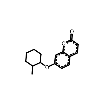 CC1CCCCC1Oc1ccc2ccc(=O)oc2c1